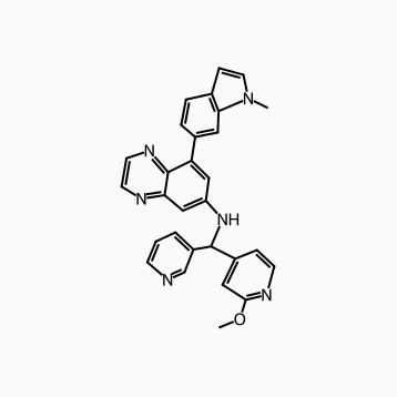 COc1cc(C(Nc2cc(-c3ccc4ccn(C)c4c3)c3nccnc3c2)c2cccnc2)ccn1